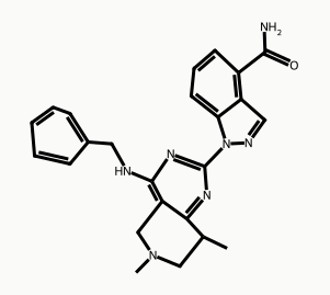 CC1CN(C)Cc2c(NCc3ccccc3)nc(-n3ncc4c(C(N)=O)cccc43)nc21